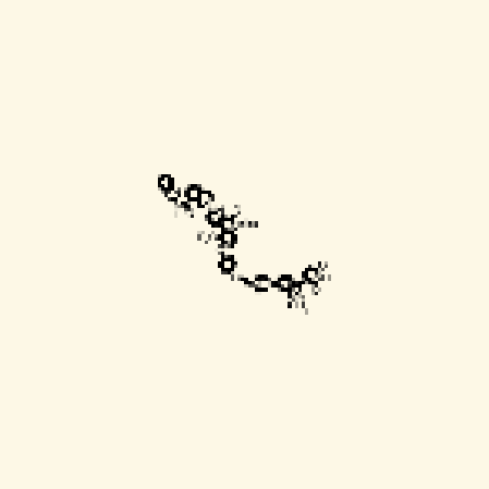 Cn1nc(C2CCC(=O)NC2=O)c2ccc(N3CCN(CCOC4CCC(Oc5cccc(-c6ccc(N7CCc8cccc(C(=O)Nc9nc%10ccccc%10s9)c8C7)nc6C(=O)OC(C)(C)C)c5C(F)(F)F)CC4)CC3)cc21